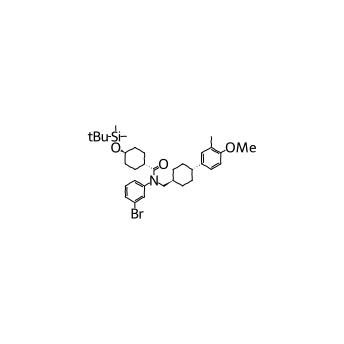 COc1ccc([C@H]2CC[C@H](CN(c3cccc(Br)c3)C(=O)[C@H]3CC[C@H](O[Si](C)(C)C(C)(C)C)CC3)CC2)cc1C